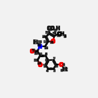 CCOc1ccc2c(c1)C=C(C(=O)N(CC)Cc1cc(C(=O)O)c(C)o1)CO2